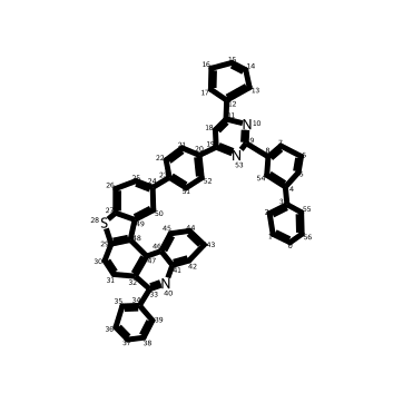 c1ccc(-c2cccc(-c3nc(-c4ccccc4)cc(-c4ccc(-c5ccc6sc7ccc8c(-c9ccccc9)nc9ccccc9c8c7c6c5)cc4)n3)c2)cc1